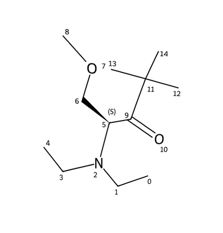 CCN(CC)[C@@H](COC)C(=O)C(C)(C)C